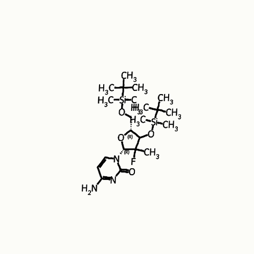 CC1(F)C(O[Si](C)(C)C(C)(C)C)[C@@H](CO[Si](C)(C)C(C)(C)C)O[C@H]1n1ccc(N)nc1=O